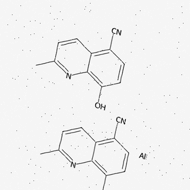 Cc1ccc2c(C#N)ccc(O)c2n1.Cc1ccc2c(C#N)ccc(O)c2n1.[Al]